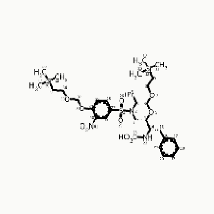 CC(C)CN(C[C@H](OCOCC[Si](C)(C)C)[C@H](Cc1ccccc1)NC(=O)O)S(=O)(=O)c1ccc(OCOCC[Si](C)(C)C)c([N+](=O)[O-])c1